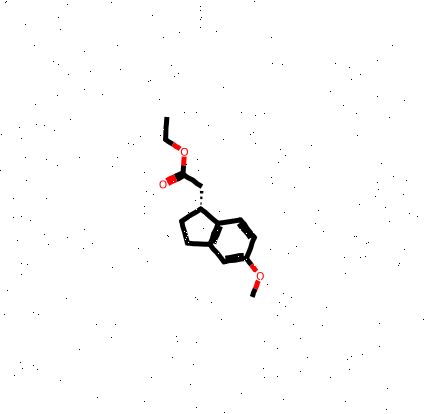 CCOC(=O)C[C@H]1CCc2cc(OC)ccc21